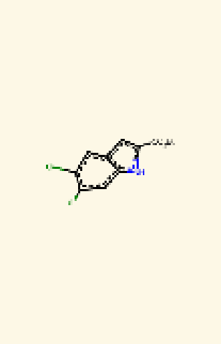 CCOC(=O)c1cc2cc(Cl)c(Br)cc2[nH]1